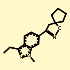 CCc1nn(C)c2cc(C3=NOC4(CCCC4)C3)ccc12